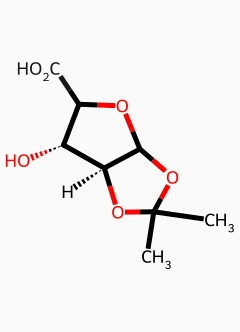 CC1(C)OC2OC(C(=O)O)[C@@H](O)[C@@H]2O1